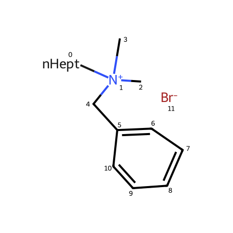 CCCCCCC[N+](C)(C)Cc1ccccc1.[Br-]